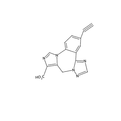 C#Cc1ccc2c(c1)-c1ncnn1Cc1c(C(=O)O)ncn1-2